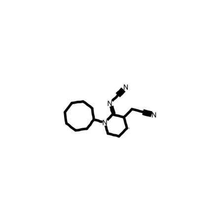 N#CCC1[CH]CCN(C2CCCCCCC2)C1=NC#N